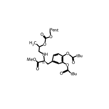 CCCC(C)OC(=O)OC(C)CN[C@@H](Cc1ccc(OC(=O)C(C)(C)C)c(OC(=O)C(C)(C)C)c1)C(=O)OC